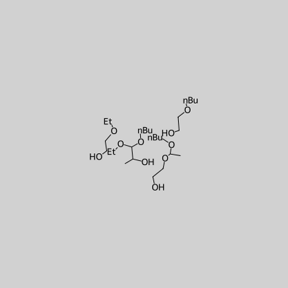 CCCCOC(C)OCCO.CCCCOC(OCC)C(C)O.CCCCOCCO.CCOCCO